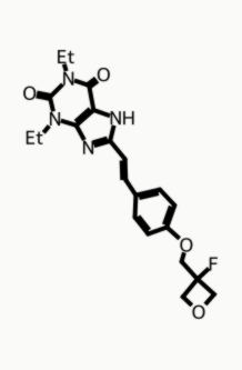 CCn1c(=O)c2[nH]c(C=Cc3ccc(OCC4(F)COC4)cc3)nc2n(CC)c1=O